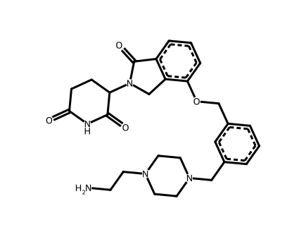 NCCN1CCN(Cc2cccc(COc3cccc4c3CN(C3CCC(=O)NC3=O)C4=O)c2)CC1